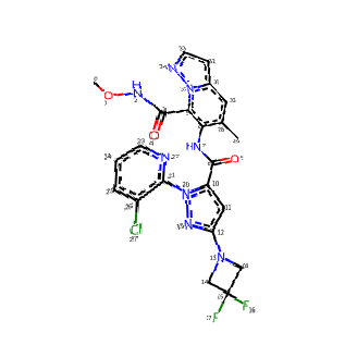 CONC(=O)c1c(NC(=O)c2cc(N3CC(F)(F)C3)nn2-c2ncccc2Cl)c(C)cc2ccnn12